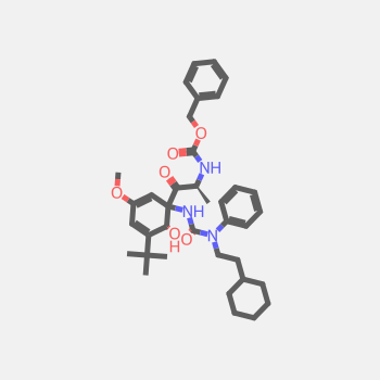 COC1=CC(NC(=O)N(CCC2CCCCC2)c2ccccc2)(C(=O)[C@H](C)NC(=O)OCc2ccccc2)C(O)C(C(C)(C)C)=C1